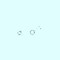 CC1(C)OB(c2ccc(OCCn3ccnc3)cc2)OC1(C)C